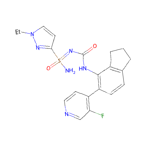 CCn1ccc(S(N)(=O)=NC(=O)Nc2c(-c3ccncc3F)ccc3c2CCC3)n1